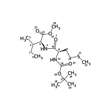 CCC(C)[C@H](NC(=O)[C@@H](CCSC)NC(=O)OC(C)(C)C)C(=O)OC